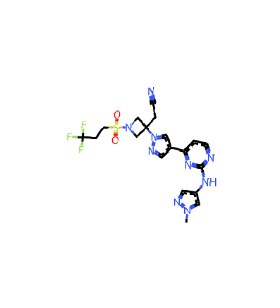 Cn1cc(Nc2nccc(-c3cnn(C4(CC#N)CN(S(=O)(=O)CCC(F)(F)F)C4)c3)n2)cn1